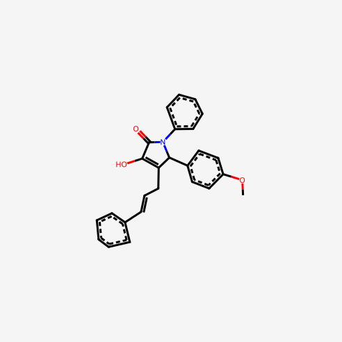 COc1ccc(C2C(C/C=C/c3ccccc3)=C(O)C(=O)N2c2ccccc2)cc1